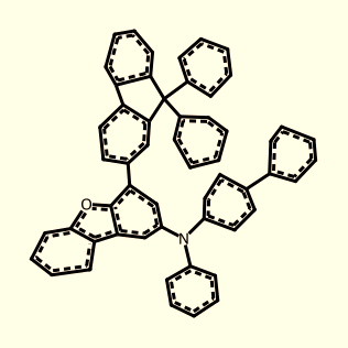 c1ccc(-c2ccc(N(c3ccccc3)c3cc(-c4ccc5c(c4)C(c4ccccc4)(c4ccccc4)c4ccccc4-5)c4oc5ccccc5c4c3)cc2)cc1